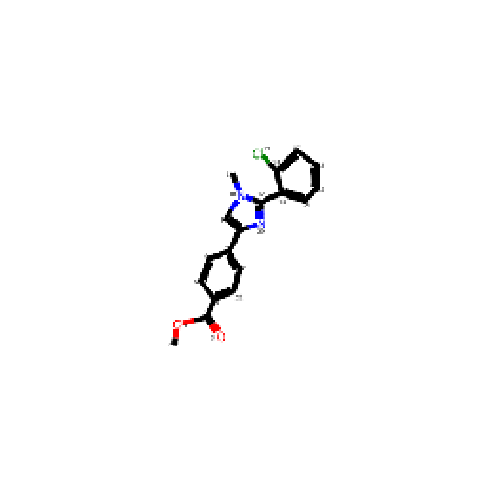 COC(=O)c1ccc(-c2cn(C)c(-c3ccccc3Cl)n2)cc1